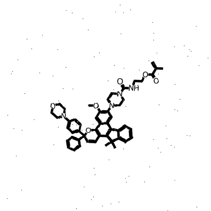 C=C(C)C(=O)OCCNC(=O)N1CCN(c2cc3c4c(c5c(c3cc2OC)OC(c2ccccc2)(c2ccc(N3CCOCC3)cc2)C=C5)C(C)(C)c2ccccc2-4)CC1